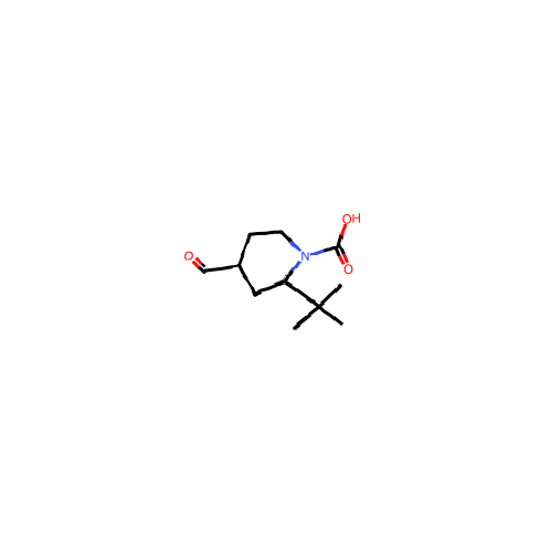 CC(C)(C)C1CC(C=O)CCN1C(=O)O